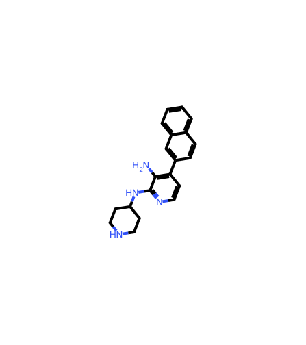 Nc1c(-c2ccc3ccccc3c2)ccnc1NC1CCNCC1